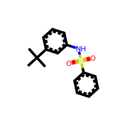 CC(C)(C)c1cccc(NS(=O)(=O)c2ccccc2)c1